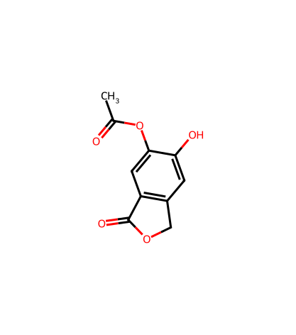 CC(=O)Oc1cc2c(cc1O)COC2=O